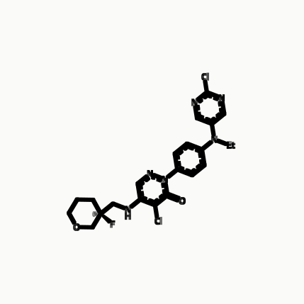 CCN(c1ccc(-n2ncc(NC[C@@]3(F)CCCOC3)c(Cl)c2=O)cc1)c1cnc(Cl)nc1